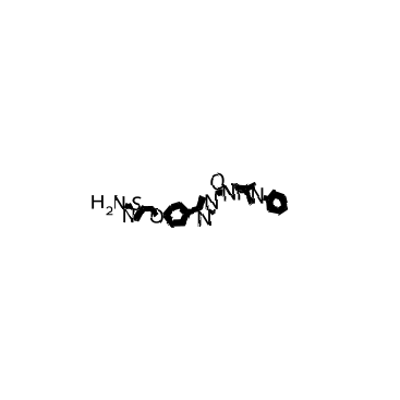 Nc1ncc(COc2ccc(-c3cn(C(=O)NCC4CN(c5ccccc5)C4)cn3)cc2)s1